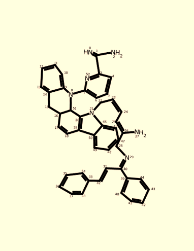 N=C(N)c1cccc(N2c3ccccc3CC3C=Cc4c(n(C/C=C\C=C(/N)C/N=C(\C=C\c5ccccc5)c5ccccc5)c5ccccc45)C32)n1